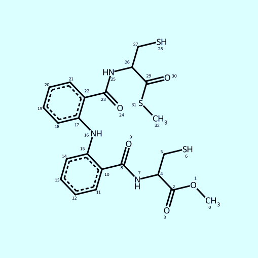 COC(=O)C(CS)NC(=O)c1ccccc1Nc1ccccc1C(=O)NC(CS)C(=O)SC